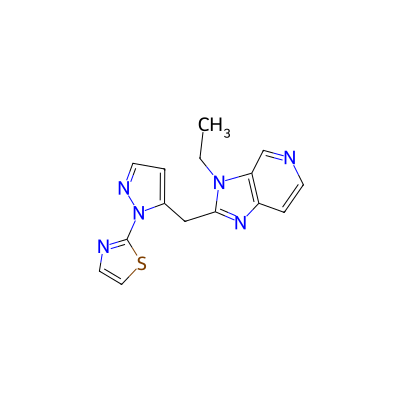 CCn1c(Cc2ccnn2-c2nccs2)nc2ccncc21